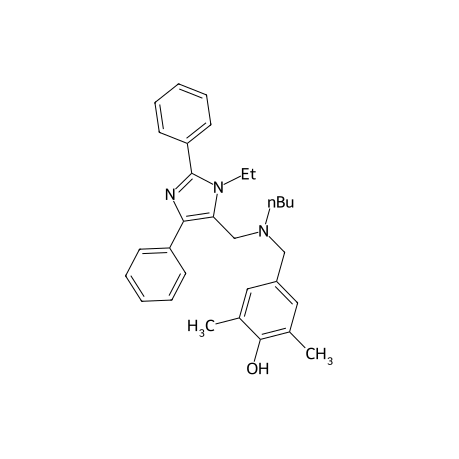 CCCCN(Cc1cc(C)c(O)c(C)c1)Cc1c(-c2ccccc2)nc(-c2ccccc2)n1CC